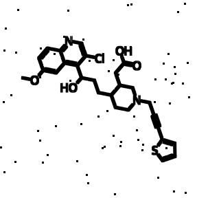 COc1ccc2ncc(Cl)c(C(O)CCC3CCN(CC#Cc4cccs4)CC3CC(=O)O)c2c1